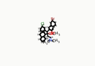 COc1cc2ccc(Br)cc2cc1C(c1cccc(Cl)c1)C(O)(CCN(C)C)c1cccc2ccccc12